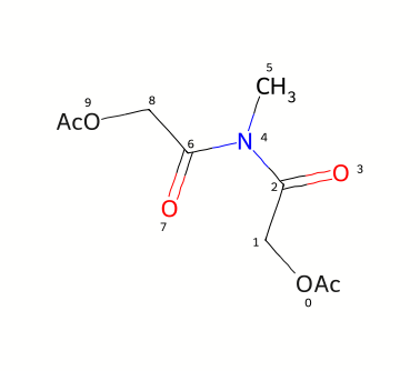 CC(=O)OCC(=O)N(C)C(=O)COC(C)=O